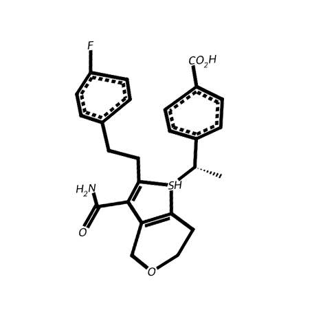 C[C@@H](c1ccc(C(=O)O)cc1)[SH]1C2=C(COCC2)C(C(N)=O)=C1CCc1ccc(F)cc1